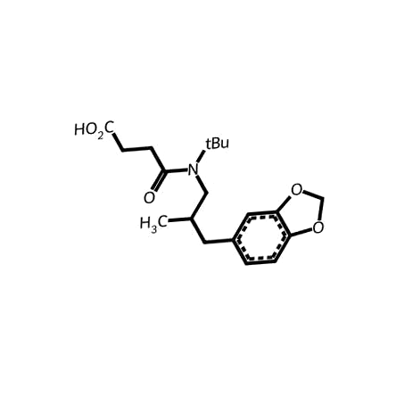 CC(Cc1ccc2c(c1)OCO2)CN(C(=O)CCC(=O)O)C(C)(C)C